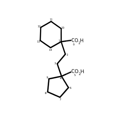 O=C(O)C1(CCC2(C(=O)O)CCCC2)CCCCC1